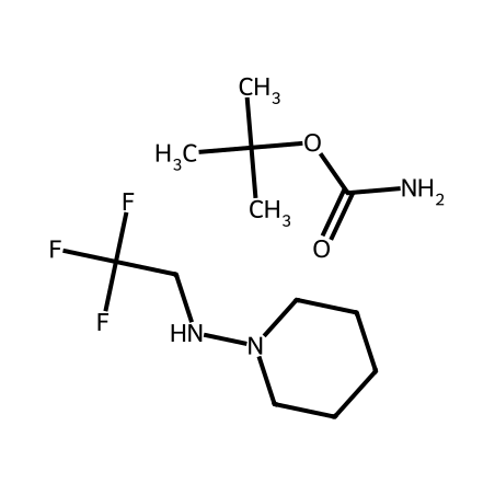 CC(C)(C)OC(N)=O.FC(F)(F)CNN1CCCCC1